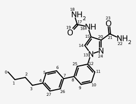 CCCCc1ccc(-c2cccc(-n3cc(NC(N)=O)c(C(N)=O)n3)c2)cc1